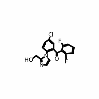 O=C(c1cc(Cl)ccc1-n1ccnc1CO)c1c(F)cccc1F